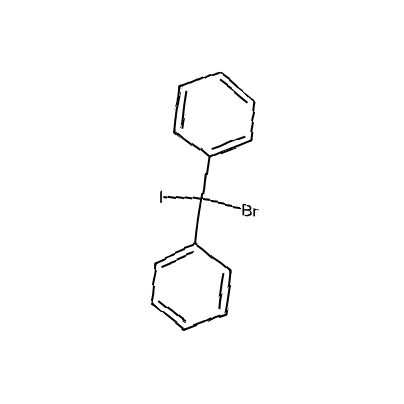 BrC(I)(c1ccccc1)c1ccccc1